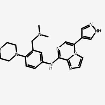 CN(C)Cc1cc(Nc2ncc(-c3cn[nH]c3)n3ccnc23)ccc1N1CCOCC1